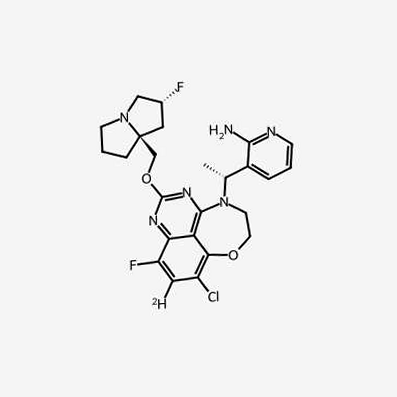 [2H]c1c(Cl)c2c3c(nc(OC[C@@]45CCCN4C[C@H](F)C5)nc3c1F)N([C@H](C)c1cccnc1N)CCO2